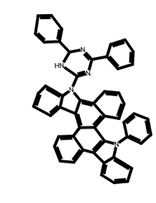 c1ccc(C2=NC(c3ccccc3)NC(n3c4ccccc4c4c5c6ccccc6c6c7ccccc7n(-c7ccccc7)c6c5c5ccccc5c43)=N2)cc1